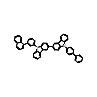 c1ccc(-c2ccc(-n3c4ccccc4c4cc(-c5ccc6c(c5)c5ccccc5n6-c5cccc(-c6cccc7ccccc67)c5)ccc43)cc2)cc1